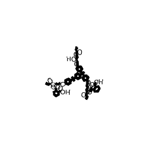 C=CC(=O)OCC(O)COc1ccc(C(C)(c2ccc(OCC(COC(=O)C=C)OC(=O)C3CC=CCC3C(=O)O)cc2)c2ccc(C(C)(C)c3ccc(OCC(COC(=O)C=C)OC(=O)C4CC=CCC4C(=O)O)cc3)cc2)cc1